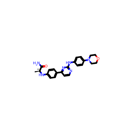 C[C@H](Nc1ccc(-c2ccnc(Nc3ccc(N4CCOCC4)cc3)n2)cc1)C(N)=O